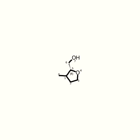 CC1CCO[C@H]1CO